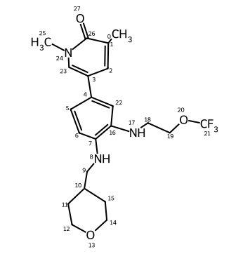 Cc1cc(-c2ccc(NCC3CCOCC3)c(NCCOC(F)(F)F)c2)cn(C)c1=O